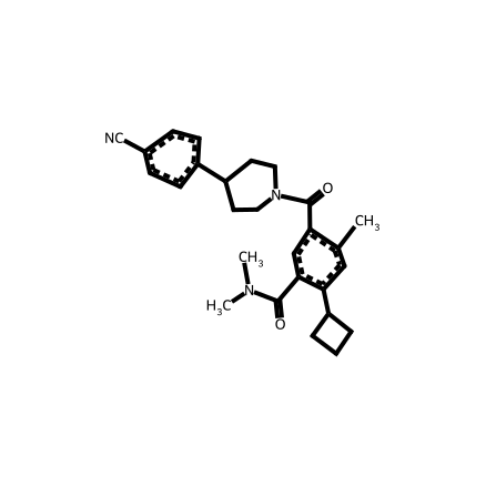 Cc1cc(C2CCC2)c(C(=O)N(C)C)cc1C(=O)N1CCC(c2ccc(C#N)cc2)CC1